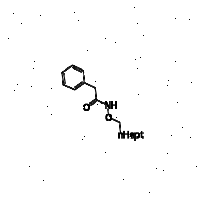 CCCCCCCCONC(=O)Cc1ccccc1